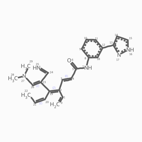 C=CC(/C=C/C(=O)Nc1cccc(-c2cc[nH]n2)c1)=C(\C=C/C)C(/C=N)=C/N(C)C